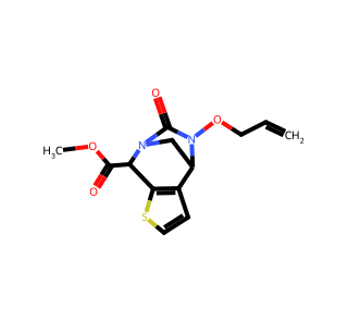 C=CCON1C(=O)N2CC1c1ccsc1C2C(=O)OC